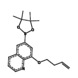 C=CCCOc1cc(B2OC(C)(C)C(C)(C)O2)cc2cccnc12